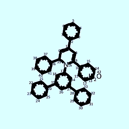 C1=C(c2ccccc2)C=C(c2ccccc2)N(c2cc(-c3ccccc3)cc(-c3ccccc3)c2)C1c1ccccc1.O